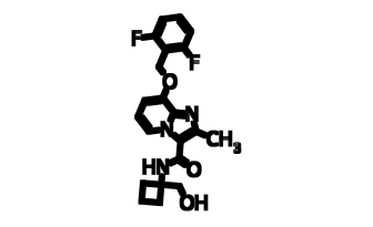 Cc1nc2c(OCc3c(F)cccc3F)cccn2c1C(=O)NC1(CO)CCC1